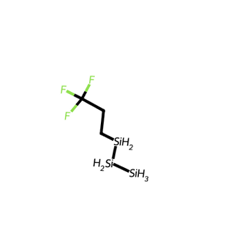 FC(F)(F)CC[SiH2][SiH2][SiH3]